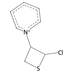 ClC1SCC1[n+]1ccccc1